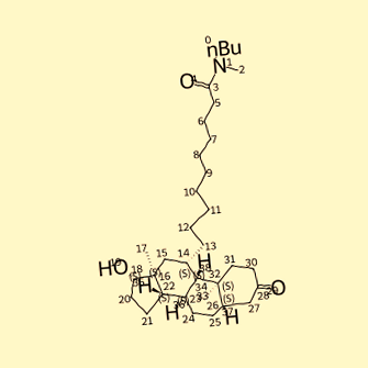 CCCCN(C)C(=O)CCCCCCCCC[C@H]1C[C@]2(C)[C@@H](O)CC[C@H]2[C@@H]2CC[C@H]3CC(=O)CC[C@]3(C)[C@@H]12